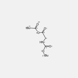 CC(C)(C)OC(=O)NCC(=O)OC(=O)C(C)(C)C